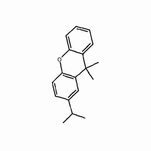 CC(C)c1ccc2c(c1)C(C)(C)c1ccccc1O2